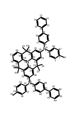 Cc1ccc(N(c2ccc(-c3ccccc3)cc2)c2cc3c4c(c2)C(C)(C)c2cc(N(c5ccc(C)cc5)c5ccc(-c6ccccc6)cc5)cc5c2N4c2c(cccc2C5(C)C)C3(C)C)cc1